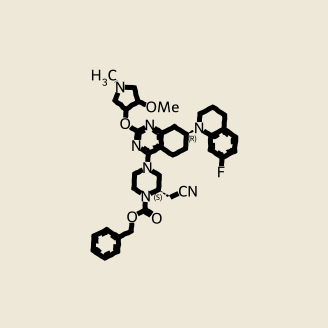 COC1CN(C)CC1Oc1nc2c(c(N3CCN(C(=O)OCc4ccccc4)[C@@H](CC#N)C3)n1)CC[C@@H](N1CCCc3ccc(F)cc31)C2